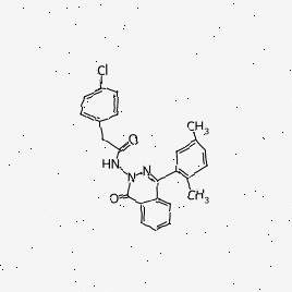 Cc1ccc(C)c(-c2nn(NC(=O)Cc3ccc(Cl)cc3)c(=O)c3ccccc23)c1